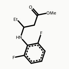 CCC(CC(=O)OC)Nc1c(F)cccc1F